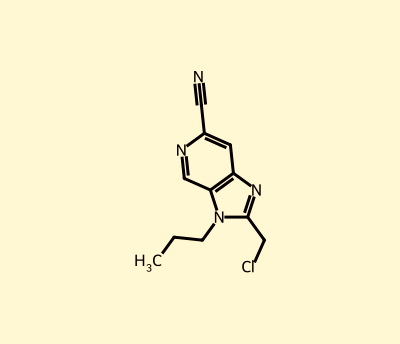 CCCn1c(CCl)nc2cc(C#N)ncc21